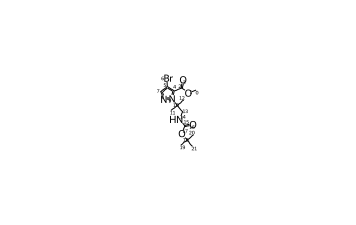 COC(=O)c1c(Br)cnn1C(C)(C)CNC(=O)OC(C)(C)C